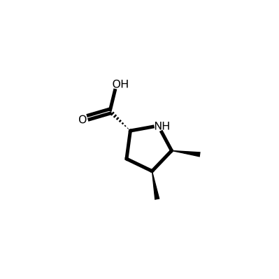 C[C@@H]1N[C@@H](C(=O)O)C[C@@H]1C